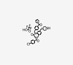 O=C(O)C(F)(F)F.O=C(c1ccc(CN2C(=O)CN(C(=O)c3ccc(Cl)cc3)Cc3ccc(CN4CCNCC4)cc32)cc1)N1CC=CC1